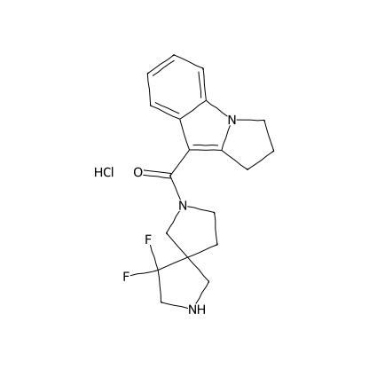 Cl.O=C(c1c2n(c3ccccc13)CCC2)N1CCC2(CNCC2(F)F)C1